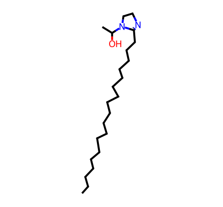 CCCCCCCCCCCCCCCCCCC1=NCCN1C(C)O